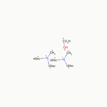 CCCCCCCCCCN(C)CCCCCCCCCC.CCCCCCCCCCN(C)CCCCCCCCCC.O=C(O)O